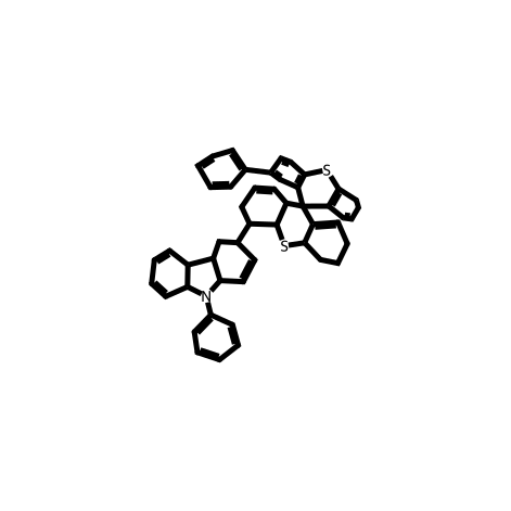 C1=CC2C3CC(C4CC=CC5C4SC4CCCC=C4C54C5=C(CCC=C5)Sc5ccc(-c6ccccc6)cc54)C=CC3N(c3ccccc3)C2C=C1